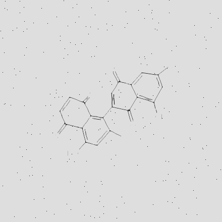 Cc1cc(O)c2c(c1)C(=O)C=C(c1c(C)cc(O)c3c1C(=O)C=CC3=O)C2=O